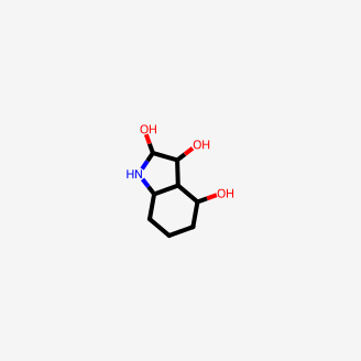 OC1CCCC2NC(O)C(O)C12